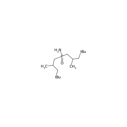 CC(CC(C)(C)C)CP(N)(=O)CC(C)CC(C)(C)C